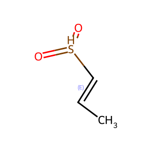 C/C=C/[SH](=O)=O